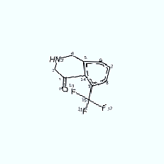 O=C1CNCc2cccc(C(F)(F)F)c21